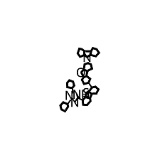 c1ccc(C2=NC(c3cccc4c3sc3c(-c5ccc6oc7cc(-n8c9ccccc9c9ccccc98)ccc7c6c5)cccc34)NC(c3ccccc3)=N2)cc1